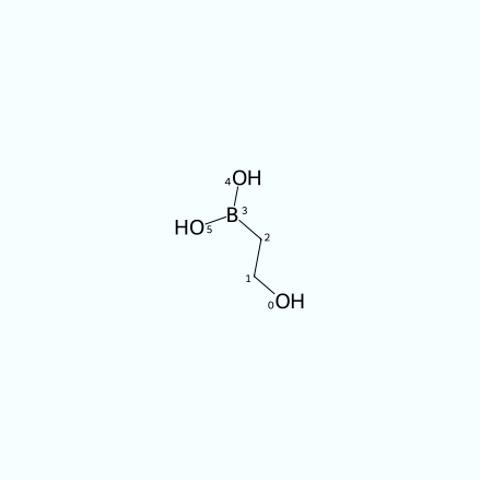 OCCB(O)O